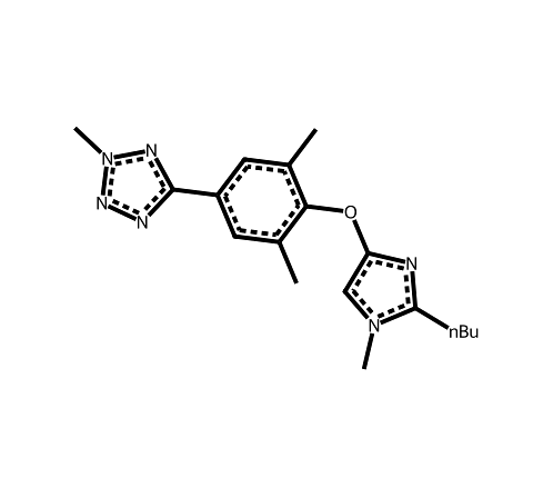 CCCCc1nc(Oc2c(C)cc(-c3nnn(C)n3)cc2C)cn1C